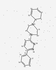 C1=CCC(N2CCN(c3ccc(-c4ccccc4)nn3)CC2)C=C1